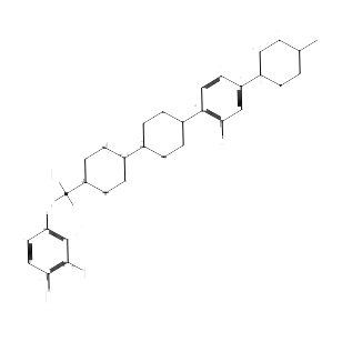 CC1CCC(c2ccc(C3CCC(C4CCC(C(F)(F)Oc5ccc(F)c(F)c5)CC4)CC3)c(F)c2)CC1